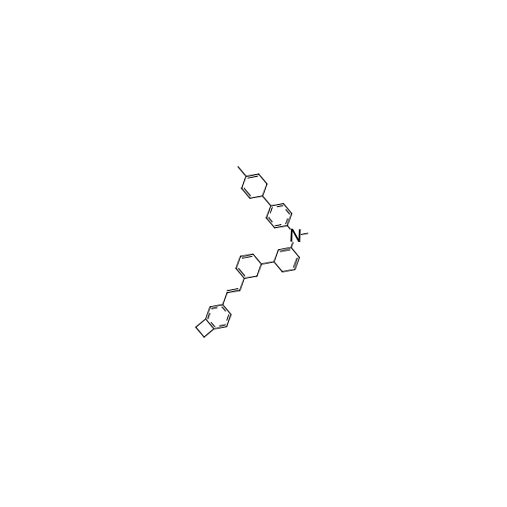 CC1=CCC(c2ccc(N(C)C3=CC(C4C=CC=C(/C=C/c5ccc6c(c5)CC6)C4)CC=C3)cc2)C=C1